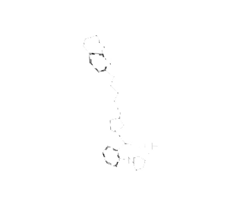 O=C(O)C(c1ccccc1N1CCCC1)N1CCC(OCCCCc2ccc3c(n2)NCCC3)C1